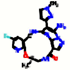 C[C@H]1CNC(=O)c2cnn3c(N)c(-c4ccn(C)n4)c(nc23)NCc2cc(F)cnc2O1